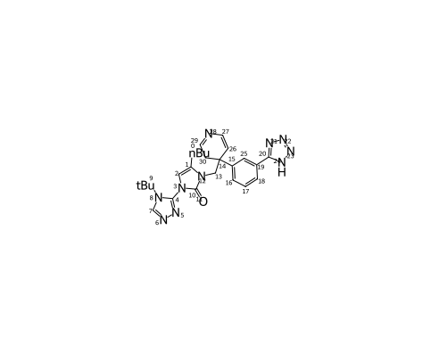 CCCCc1cn(-c2nncn2C(C)(C)C)c(=O)n1CC1(c2cccc(-c3nnn[nH]3)c2)C=CN=CC1